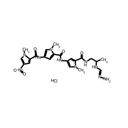 CC(CNC(=O)c1cc(NC(=O)c2cc(NC(=O)c3cc([N+](=O)[O-])cn3C)cn2C)cn1C)NC=NN.Cl